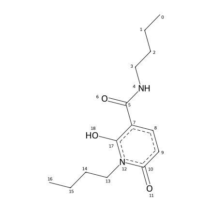 CCCCNC(=O)c1ccc(=O)n(CCCC)c1O